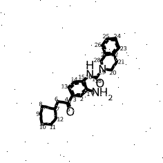 Nc1cc(C(=O)CC2CCCCC2)ccc1NC(=O)N1CCc2ccccc2C1